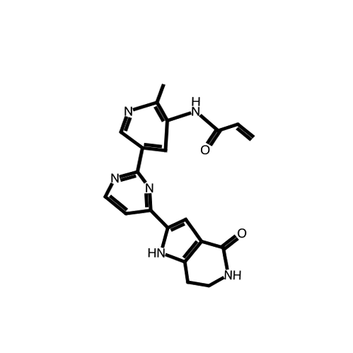 C=CC(=O)Nc1cc(-c2nccc(-c3cc4c([nH]3)CCNC4=O)n2)cnc1C